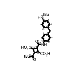 CC(C)(C)Nc1ccc(Cc2ccc(NC(=O)C3C(C(=O)O)C(C(=O)C(C)(C)C)C3C(=O)O)cc2)cc1